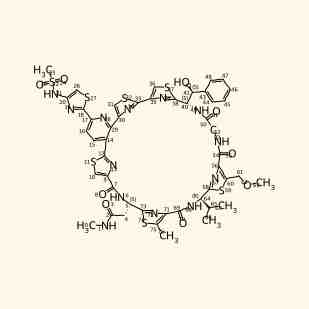 CNC(=O)C[C@@H]1NC(=O)c2csc(n2)-c2ccc(-c3nc(NS(C)(=O)=O)cs3)nc2-c2csc(n2)-c2csc(n2)[C@H]([C@@H](O)c2ccccc2)NC(=O)CNC(=O)c2nc(sc2COC)[C@@H](C(C)C)NC(=O)c2nc1sc2C